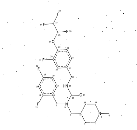 CN1CCC(CN(Cc2ccc(F)cc2F)C(=O)NCc2ccc(OC(F)C(F)F)c(F)c2)CC1